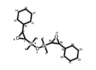 C[Si](C)(O[Si](C)(C)C1OC1C1CCCCC1)C1OC1C1CCCCC1